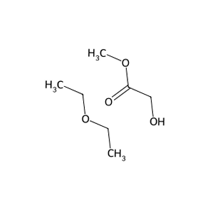 CCOCC.COC(=O)CO